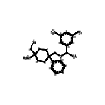 CC(=O)NC1(CO)CCC(CO[C@H](C)c2cc(C(F)(F)F)cc(C(F)(F)F)c2)(c2ccccc2)CC1